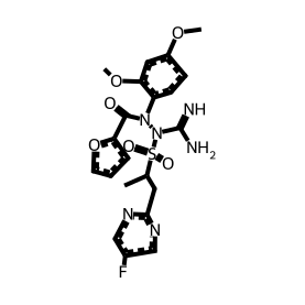 COc1ccc(N(C(=O)c2ccco2)N(C(=N)N)S(=O)(=O)C(C)Cc2ncc(F)cn2)c(OC)c1